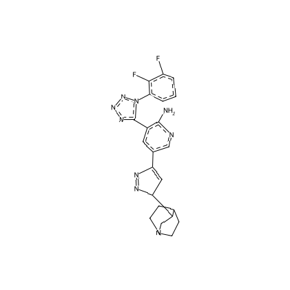 Nc1ncc(C2=CC(C3CN4CCC3CC4)N=N2)cc1-c1nnnn1-c1cccc(F)c1F